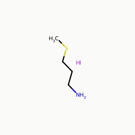 CSCCCN.I